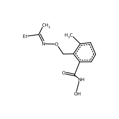 CCC(C)=NOCc1c(C)cccc1C(=O)NO